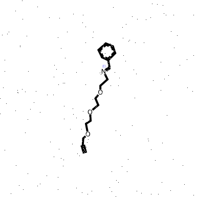 C#CCOCCOCCOCC/N=C/c1ccccc1